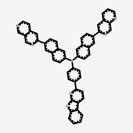 c1cnc2cnc(-c3ccc4cc(N(c5ccc(-c6ccc7c(n6)oc6ccccc67)cc5)c5ccc6cc(-c7cc8ccncc8cn7)ccc6c5)ccc4c3)cc2c1